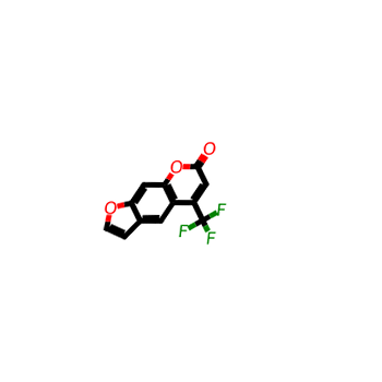 O=c1cc(C(F)(F)F)c2cc3ccoc3cc2o1